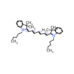 CCCCCN1/C(=C/C=C/C=C/C=C/C2=[N+](CCCCC)c3ccccc3C2(C)C)C(C)(C)c2ccccc21